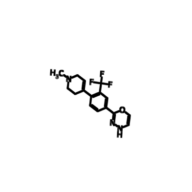 CN1CC=C(c2ccc(C3=NNC=CO3)cc2C(F)(F)F)CC1